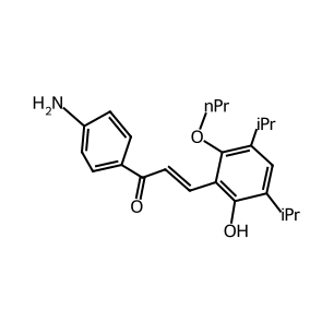 CCCOc1c(C(C)C)cc(C(C)C)c(O)c1C=CC(=O)c1ccc(N)cc1